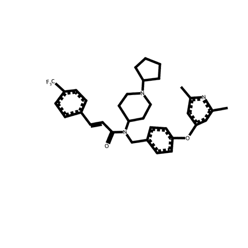 Cc1cc(Oc2ccc(CN(C(=O)C=Cc3ccc(C(F)(F)F)cc3)C3CCN(C4CCCC4)CC3)cc2)cc(C)n1